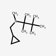 CN(CC1CC1)C(C)(C)C(C)(C)C